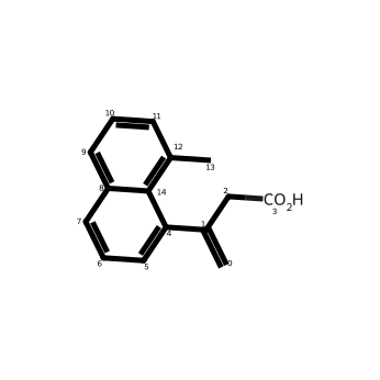 C=C(CC(=O)O)c1cccc2cccc(C)c12